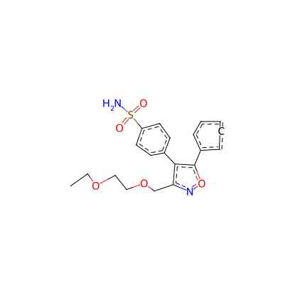 CCOCCOCc1noc(-c2ccccc2)c1-c1ccc(S(N)(=O)=O)cc1